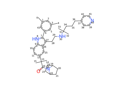 Cc1cc(C)cc(-c2[nH]c3ccc(C(C)(C)C(=O)N4C5CCC4CC5)cc3c2CCNC(C)(C)CCCc2ccncc2)c1